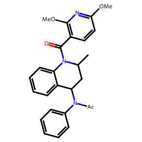 COc1ccc(C(=O)N2c3ccccc3C(N(C(C)=O)c3ccccc3)CC2C)c(OC)n1